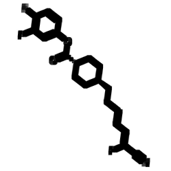 N#CC(F)=CC=CCC[C@H]1CC[C@H](C(=O)Oc2ccc(F)c(F)c2)CC1